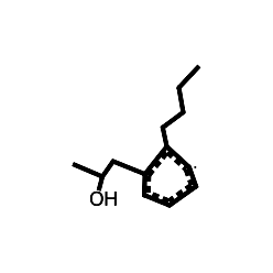 CCCCc1[c]cccc1CC(C)O